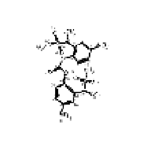 CC(c1cc([N+](=O)[O-])ccc1OC(=O)Oc1ccc([N+](=O)[O-])cc1C(C)S(C)(=O)=O)S(C)(=O)=O